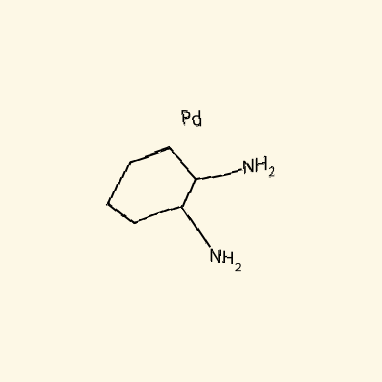 NC1CCCCC1N.[Pd]